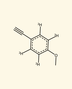 [2H]c1c([2H])c(OC)c([2H])c([2H])c1C#C